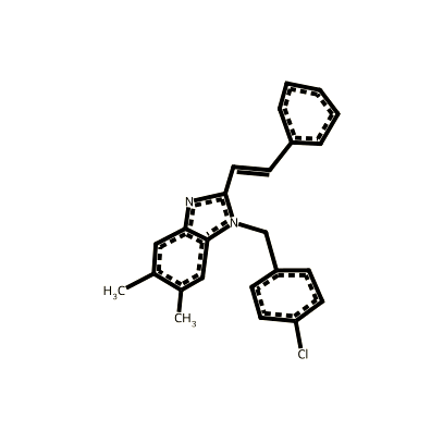 Cc1cc2nc(/C=C/c3ccccc3)n(Cc3ccc(Cl)cc3)c2cc1C